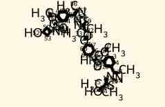 COc1ccc(-c2c(C)nc3sc(C(C)(C)O)cn23)cc1S(=O)(=O)N[C@H]1CC[C@H](OOC(C)(C)c2nn3c(-c4ccc(OC)c(S(=O)(=O)N[C@H]5C[C@@H](O)C5)c4)c(C)nc3s2)CC1